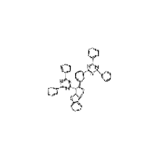 c1ccc(-c2nc(-c3ccccc3)nc(-c3cccc(-c4ccc5c(sc6ccccc65)c4-c4nc(-c5ccccc5)nc(-c5ccccc5)n4)c3)n2)cc1